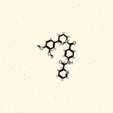 COc1ccc(C2=NN(C(=O)c3ccc(NC(=O)c4ccccn4)cc3)CCC2)cc1OC